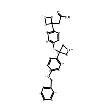 O=C(O)CC1(c2ccc(OC3(c4ccc(OCc5ccccc5)cc4)COC3)cc2)COC1